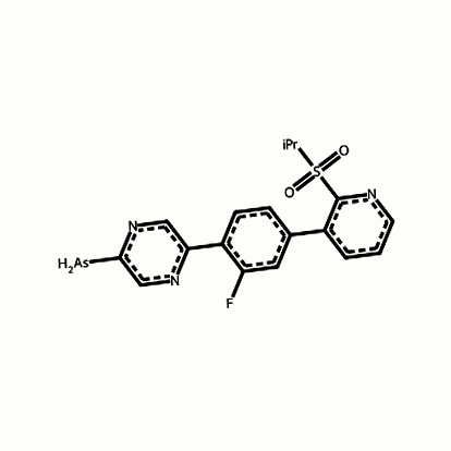 CC(C)S(=O)(=O)c1ncccc1-c1ccc(-c2cnc([AsH2])cn2)c(F)c1